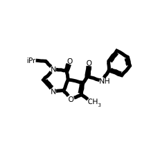 CC1=C(C(=O)Nc2ccccc2)C2C(=O)N(CC(C)C)C=NC2O1